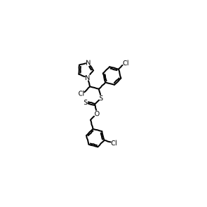 S=C(OCc1cccc(Cl)c1)SC(c1ccc(Cl)cc1)C(Cl)n1ccnc1